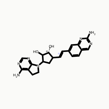 Nc1ncc2ccc(/C=C/C3CC(N4CCc5c(N)ncnc54)C(O)[C@@H]3O)cc2n1